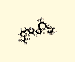 CCN[C@H]1/C=C\[C@@]2(OO[C@](C)([C@H]3CC[C@](O)(CC)[C@H](C)O3)CC1)O[C@H](C(CC)C(=O)[C@@H](C)[C@@H](O)[C@H](C)[C@@H]1O[C@@H]([C@@H](CC)C(O)O)CC[C@@H]1C)[C@@H](C)C[C@H]2C